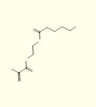 C=C(C)C(=O)OCCOC(=O)CCCCC(=O)O